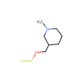 CN1CCCC(COSS)C1